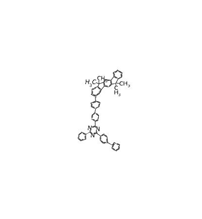 CC1(C)c2ccccc2-c2cc3c(cc21)-c1cc(-c2ccc(-c4ccc(-c5nc(-c6ccccc6)nc(-c6ccc(-c7ccccc7)cc6)n5)cc4)cc2)ccc1C3(C)C